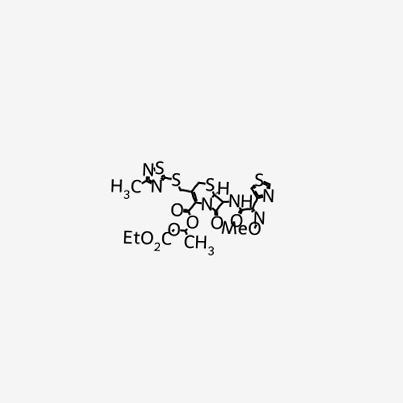 CCOC(=O)OC(C)OC(=O)C1=C(CSc2nc(C)ns2)CS[C@H]2C(NC(=O)/C(=N\OC)c3cscn3)C(=O)N12